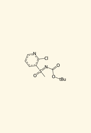 CC(C)(C)OC(=O)N=S(C)(=O)c1cccnc1Cl